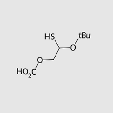 CC(C)(C)OC(S)COC(=O)O